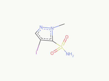 Cn1ncc(I)c1S(N)(=O)=O